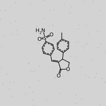 Cc1ccc(C2COC(=O)/C2=C/c2ccc(S(N)(=O)=O)cc2)cc1